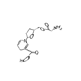 NCC(=O)OC[C@@H]1CC[C@H](N2C=CCC(C(=O)O)=C2)O1